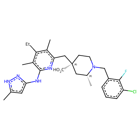 CCc1c(C)c(C[C@@]2(C(=O)O)CCN(Cc3cccc(Cl)c3F)[C@H](C)C2)nc(Nc2cc(C)[nH]n2)c1C